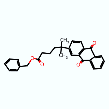 CC(C)(CCCC(=O)OCc1ccccc1)c1ccc2c(c1)C(=O)c1ccccc1C2=O